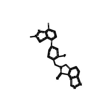 Cc1ccc(-c2ccc(CN3Cc4ccc5nncn5c4C3=O)c(F)c2)c2cn(C)nc12